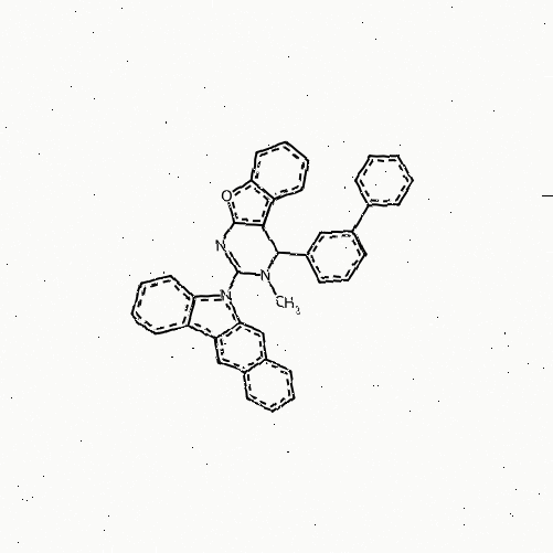 CN1C(n2c3ccccc3c3cc4ccccc4cc32)=Nc2oc3ccccc3c2C1c1cccc(-c2ccccc2)c1